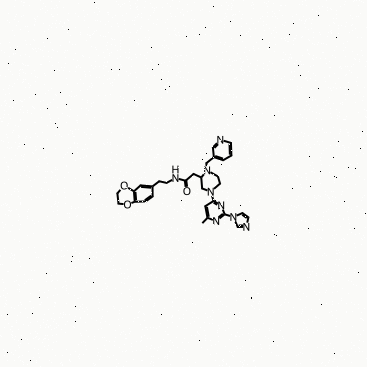 Cc1cc(N2CCN(Cc3cccnc3)C(CC(=O)NCCc3ccc4c(c3)OCCO4)C2)nc(-n2ccnc2)n1